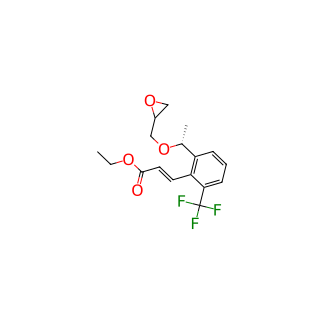 CCOC(=O)/C=C/c1c([C@@H](C)OCC2CO2)cccc1C(F)(F)F